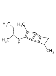 CCC(C)Nc1c(C)c2c3c(c1=2)C(C)C3